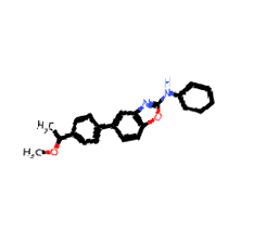 COC(C)c1ccc(-c2ccc3oc(NC4CCCCC4)nc3c2)cc1